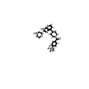 O=C(c1ccc(S(F)(F)(F)(F)F)cc1)N1CCC(c2ccnc3[nH]c([C@H]4CNCCO4)nc23)CC1